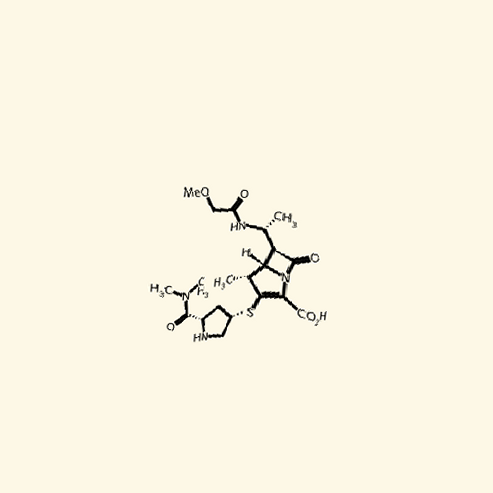 COCC(=O)N[C@H](C)[C@H]1C(=O)N2C(C(=O)O)=C(S[C@@H]3CN[C@H](C(=O)N(C)C)C3)[C@H](C)[C@H]12